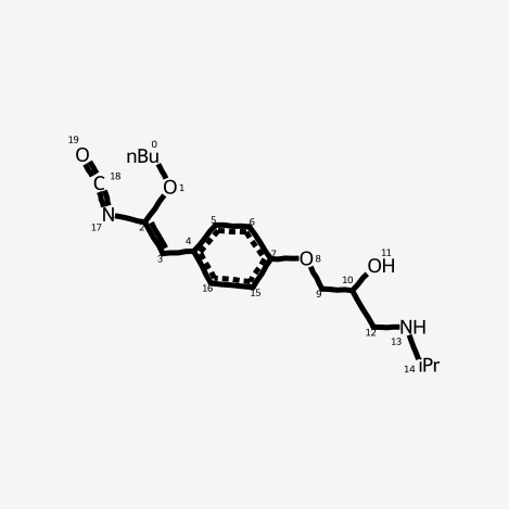 CCCCOC(=Cc1ccc(OCC(O)CNC(C)C)cc1)N=C=O